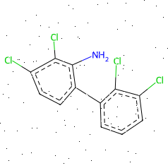 Nc1c(-c2cccc(Cl)c2Cl)ccc(Cl)c1Cl